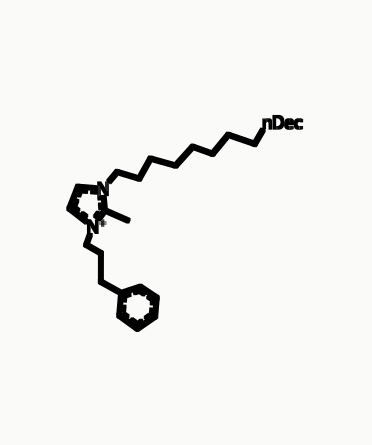 CCCCCCCCCCCCCCCCCCn1cc[n+](CCCc2ccccc2)c1C